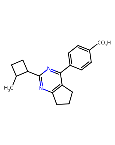 CC1CCC1c1nc2c(c(-c3ccc(C(=O)O)cc3)n1)CCC2